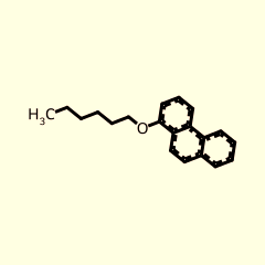 CCCCCCOc1cccc2c1ccc1ccccc12